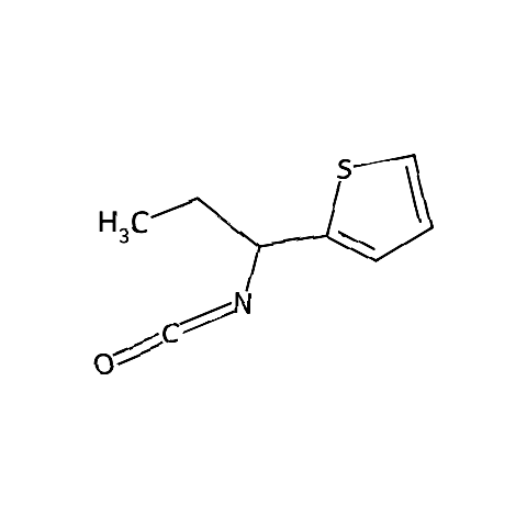 CCC(N=C=O)c1cccs1